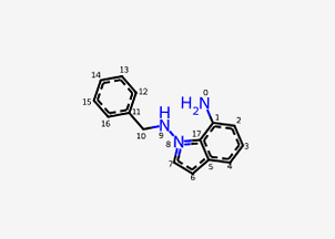 Nc1cccc2ccn(NCc3ccccc3)c12